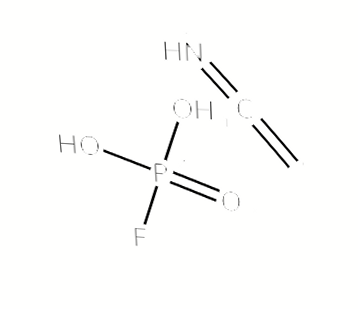 C=C=N.O=P(O)(O)F